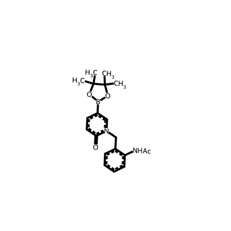 CC(=O)Nc1ccccc1Cn1cc(B2OC(C)(C)C(C)(C)O2)ccc1=O